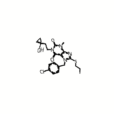 CCCSc1nc2c(c(=O)n(CCC3(O)CC3)c(=O)n2C)n1Cc1ccc(Cl)cc1